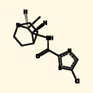 C[C@H]1[C@H](NC(=O)c2ncc(Cl)s2)C2CCN1CC2